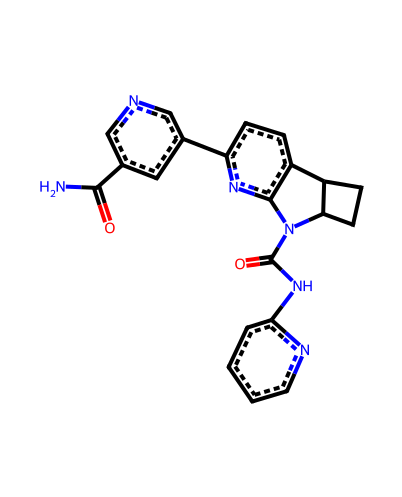 NC(=O)c1cncc(-c2ccc3c(n2)N(C(=O)Nc2ccccn2)C2CCC32)c1